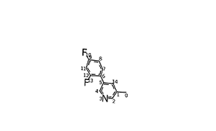 Cc1cncc(-c2ccc(F)cc2F)c1